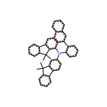 CC1(C)c2ccccc2-c2ccc(N(c3ccccc3-c3ccc4ccccc4c3)c3cccc4c3C(C)(C)c3ccccc3-4)cc21